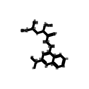 CCCCC[C@H](CN(O)C=O)C(=O)NNc1nc(N(C)C)nc2ccccc12